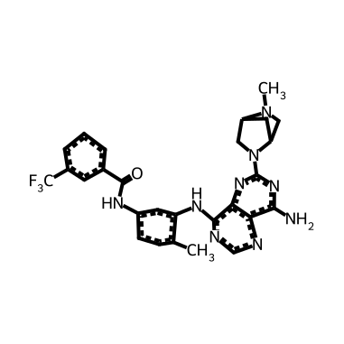 Cc1ccc(NC(=O)c2cccc(C(F)(F)F)c2)cc1Nc1ncnc2c(N)nc(N3CC4CC3CN4C)nc12